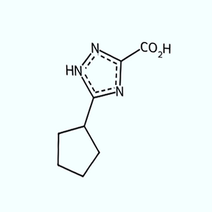 O=C(O)c1n[nH]c(C2CCCC2)n1